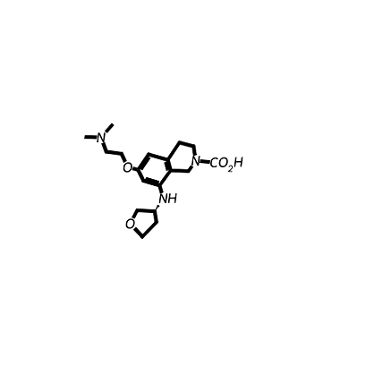 CN(C)CCOc1cc2c(c(N[C@@H]3CCOC3)c1)CN(C(=O)O)CC2